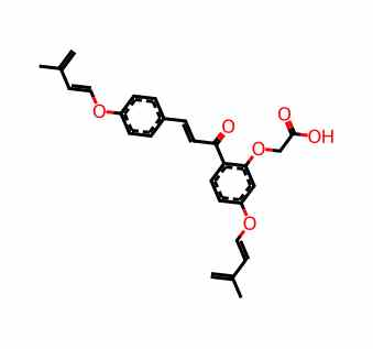 C=C(C)/C=C/Oc1ccc(/C=C/C(=O)c2ccc(O/C=C/C(=C)C)cc2OCC(=O)O)cc1